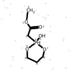 COC(=O)C[PH]1(O)OCCCO1